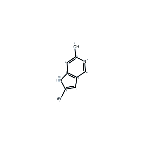 CC(C)c1cc2cnc(O)cc2[nH]1